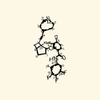 CC1CCC2CC(C#Cc3ccncc3)C12Sc1cc(C(=O)Nc2cc(F)c(F)c(F)c2)ccc1Cl